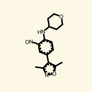 Cc1noc(C)c1-c1ccc(NC2CCOCC2)c(N=O)c1